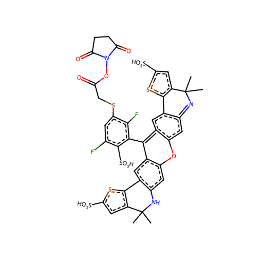 CC1(C)N=c2cc3c(cc2-c2sc(S(=O)(=O)O)cc21)=C(c1c(F)c(SCC(=O)ON2C(=O)CCC2=O)cc(F)c1S(=O)(=O)O)c1cc2c(cc1O3)NC(C)(C)c1cc(S(=O)(=O)O)sc1-2